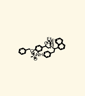 CC[Si](CC)(CC)OC(CNC(Cc1ccccc1)c1cccc2ccccc12)c1ccc(OCc2ccccc2)c(NS(C)(=O)=O)c1